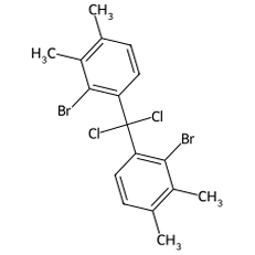 Cc1ccc(C(Cl)(Cl)c2ccc(C)c(C)c2Br)c(Br)c1C